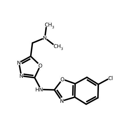 CN(C)Cc1nnc(Nc2nc3ccc(Cl)cc3o2)o1